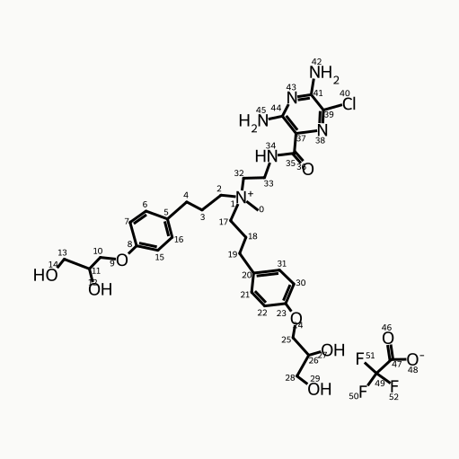 C[N+](CCCc1ccc(OCC(O)CO)cc1)(CCCc1ccc(OCC(O)CO)cc1)CCNC(=O)c1nc(Cl)c(N)nc1N.O=C([O-])C(F)(F)F